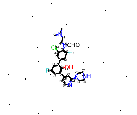 CN(C)CCN(C=O)c1c(F)cc(-c2cc(F)cc(-c3ccnc(N4CCNCC4)c3)c2O)cc1Cl